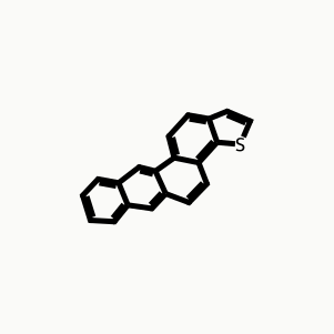 c1ccc2cc3c(ccc4c3ccc3ccsc34)cc2c1